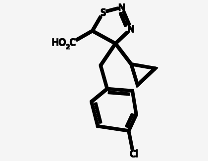 O=C(O)C1SN=NC1(Cc1ccc(Cl)cc1)C1CC1